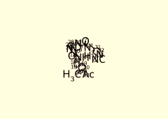 [C-]#[N+]c1cc(CNC(=O)c2cc(C(=O)N[C@H]3CCc4c3ccc(C(C)=O)c4C)n3nccc3n2)ccn1